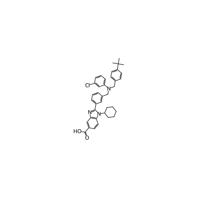 CC(C)(C)c1ccc(CN(Cc2cccc(-c3nc4cc(C(=O)O)ccc4n3C3CCCCC3)c2)c2cccc(Cl)c2)cc1